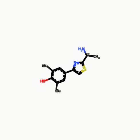 C[C@H](N)c1nc(-c2cc(C(C)(C)C)c(O)c(C(C)(C)C)c2)cs1